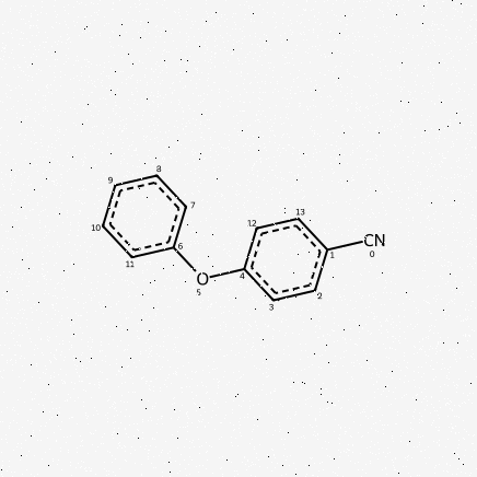 N#Cc1c[c]c(Oc2ccccc2)cc1